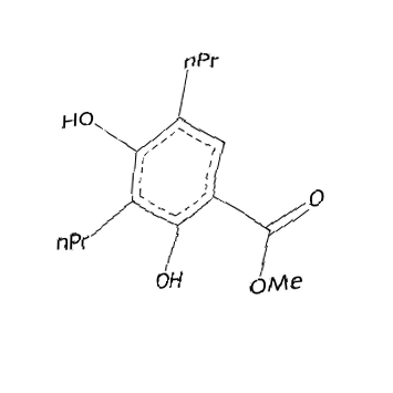 CCCc1cc(C(=O)OC)c(O)c(CCC)c1O